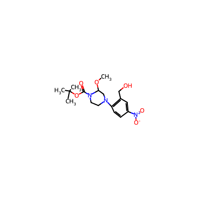 COC1CN(c2ccc([N+](=O)[O-])cc2CO)CCN1C(=O)OC(C)(C)C